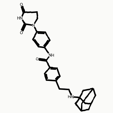 O=C1CCN(c2ccc(NC(=O)c3ccc(CCNC45CC6CC(CC(C6)C4)C5)cc3)cc2)C(=O)N1